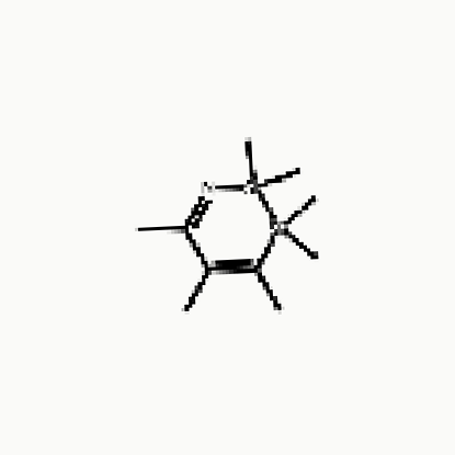 CC1=N[Si](C)(C)[Si](C)(C)C(C)=C1C